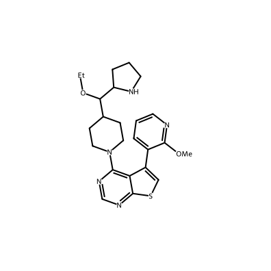 CCOC(C1CCN(c2ncnc3scc(-c4cccnc4OC)c23)CC1)C1CCCN1